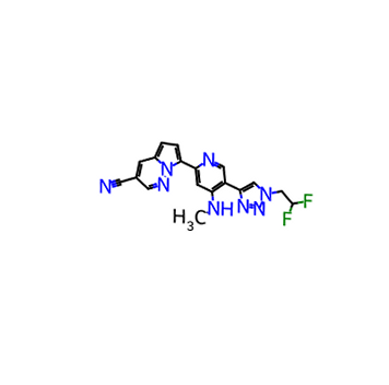 CNc1cc(-c2ccc3cc(C#N)cnn23)ncc1-c1cn(CC(F)F)nn1